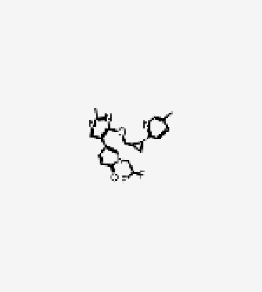 Cc1ccc([C@H]2CC2COc2nc(C)ncc2-c2ccc(=O)n(CC(F)F)c2)nc1